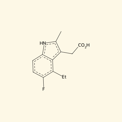 CCc1c(F)ccc2[nH]c(C)c(CC(=O)O)c12